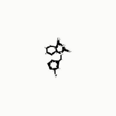 O=c1oc(=O)n(Cc2cccc(Br)c2)c2c1CCCC2